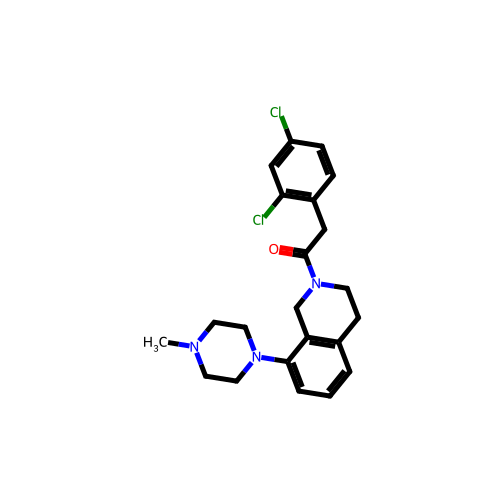 CN1CCN(c2cccc3c2CN(C(=O)Cc2ccc(Cl)cc2Cl)CC3)CC1